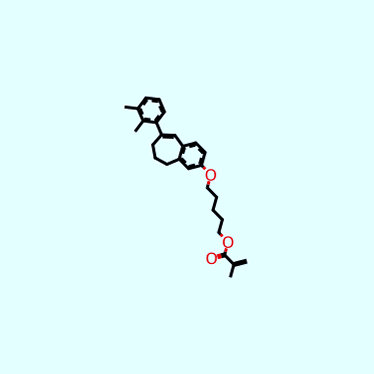 C=C(C)C(=O)OCCCCCOc1ccc2c(c1)CCCC(c1cccc(C)c1C)=C2